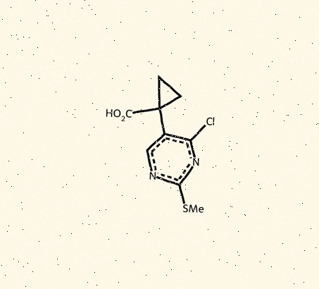 CSc1ncc(C2(C(=O)O)CC2)c(Cl)n1